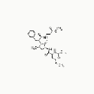 COC(=O)CCNC(=O)[C@H](Cc1ccccc1)N1C(=O)[C@@H](NC(=O)[C@H](CCSC)NC(C)=O)CC1C